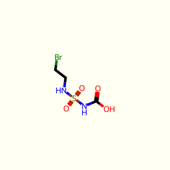 O=C(O)NS(=O)(=O)NCCBr